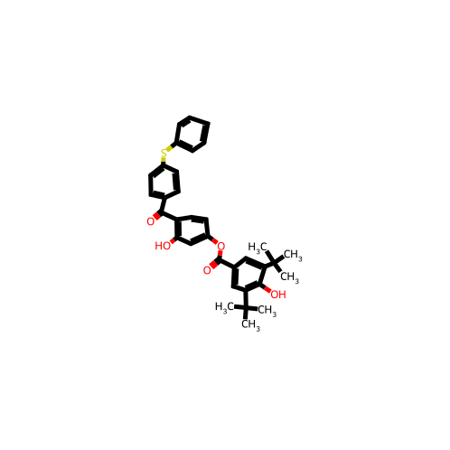 CC(C)(C)c1cc(C(=O)Oc2ccc(C(=O)c3ccc(Sc4ccccc4)cc3)c(O)c2)cc(C(C)(C)C)c1O